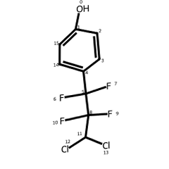 Oc1ccc(C(F)(F)C(F)(F)C(Cl)Cl)cc1